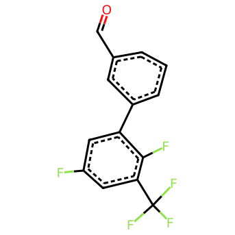 O=Cc1cccc(-c2cc(F)cc(C(F)(F)F)c2F)c1